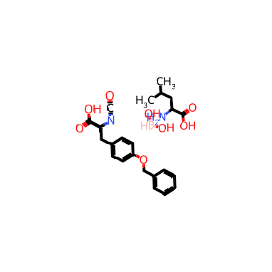 CC(C)CC(N)C(=O)O.O=C=NC(Cc1ccc(OCc2ccccc2)cc1)C(=O)O.OBO